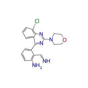 N=Cc1c(N)cccc1-c1nc(N2CCOCC2)nc2c(Cl)cccc12